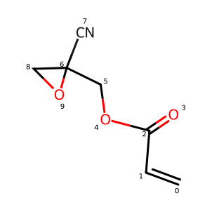 C=CC(=O)OCC1(C#N)CO1